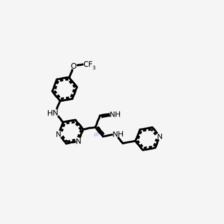 N=C/C(=C\NCc1ccncc1)c1cc(Nc2ccc(OC(F)(F)F)cc2)ncn1